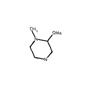 COC1C[N]CCN1C